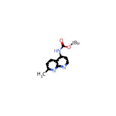 Cc1ccc2c(NC(=O)OC(C)(C)C)ccnc2n1